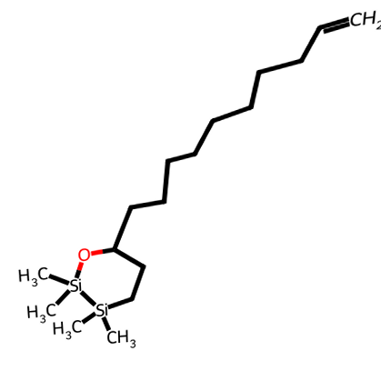 C=CCCCCCCCCC1CC[Si](C)(C)[Si](C)(C)O1